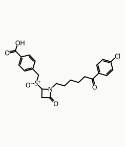 O=C(O)c1ccc(C[S+]([O-])C2CC(=O)N2CCCCCC(=O)c2ccc(Cl)cc2)cc1